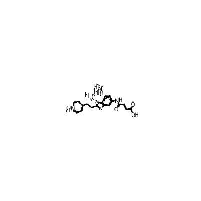 Br.Br.Cn1c(CCC2CCNCC2)nc2cc(NC(=O)CCC(=O)O)ccc21